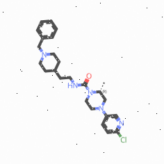 C[C@@H]1CN(c2ccc(Cl)nc2)CCN1C(=O)NCCC1CCN(Cc2ccccc2)CC1